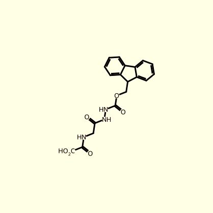 O=C(CNC(=O)C(=O)O)NNC(=O)OCC1c2ccccc2-c2ccccc21